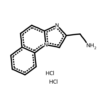 Cl.Cl.NCc1cn2c(ccc3ccccc32)n1